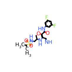 CC(C)S(=O)(=O)NCC1COC(C(=O)Nc2cc(F)cc(F)c2)=C(C=N)N1